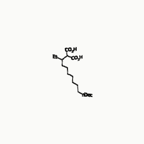 CCCCCCCCCCCCCCCCCC(CC)C(C(=O)O)C(=O)O